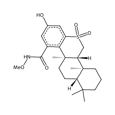 CONC(=O)c1cc(O)cc2c1[C@]1(C)CC[C@H]3C(C)(C)CCC[C@]3(C)[C@H]1CS2(=O)=O